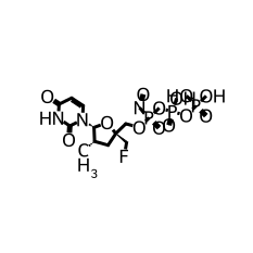 C[C@H]1C[C@@](CF)(COP(=O)(N=O)OP(=O)(O)OP(=O)(O)O)O[C@H]1n1ccc(=O)[nH]c1=O